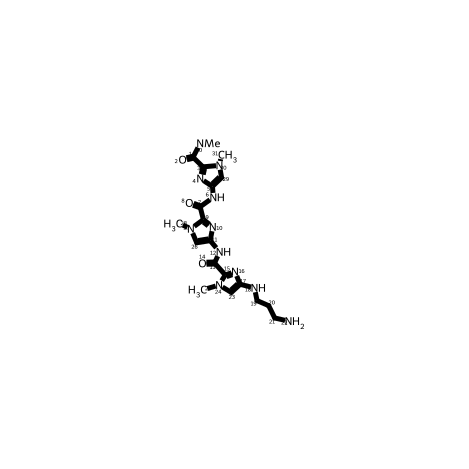 CNC(=O)c1nc(NC(=O)c2nc(NC(=O)c3nc(NCCCN)cn3C)cn2C)cn1C